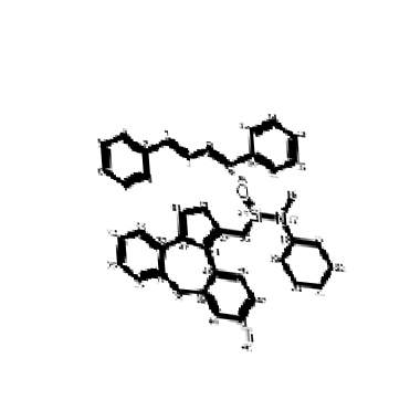 C(C=Cc1ccccc1)=Cc1ccccc1.CN(C1CCCCC1)[Si](=O)CC1=C2C(=CC1)c1ccccc1Cc1ccccc12.[Ti]